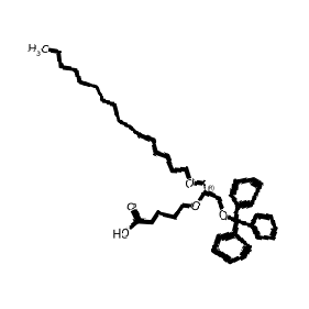 CCCCCCCCCCCCCCCCOC[C@H](COC(c1ccccc1)(c1ccccc1)c1ccccc1)OCCCCC(=O)O